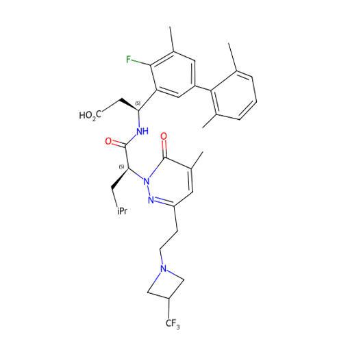 Cc1cc(-c2c(C)cccc2C)cc([C@H](CC(=O)O)NC(=O)[C@H](CC(C)C)n2nc(CCN3CC(C(F)(F)F)C3)cc(C)c2=O)c1F